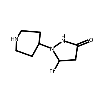 CCC1CC(=O)NN1C1CCNCC1